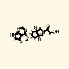 CN(c1ncnc2[nH]cc(F)c12)[C@@H]1C[C@@H]2CN(C(=O)CO)C[C@@H]2C1